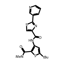 CNC(=O)c1sc(C(C)(C)C)cc1NC(=O)c1csc(-c2cccnc2)n1